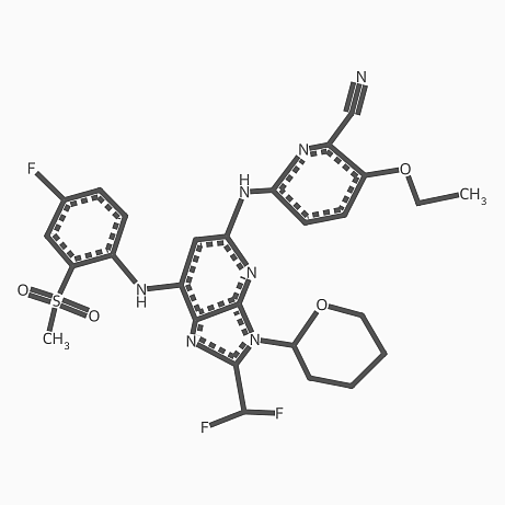 CCOc1ccc(Nc2cc(Nc3ccc(F)cc3S(C)(=O)=O)c3nc(C(F)F)n(C4CCCCO4)c3n2)nc1C#N